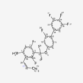 Bc1cc(F)c(C(F)(F)Oc2ccc(-c3cc(F)c(F)c(F)c3)c(F)c2)c(F)c1/C=C\C